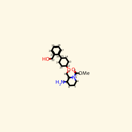 COC(=O)N1CCCC(N)C1COC1CCC(c2ccccc2CO)CC1